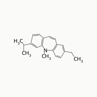 CCc1ccc2c(c1)C=Cc1ccc(C(C)C)cc1N2C